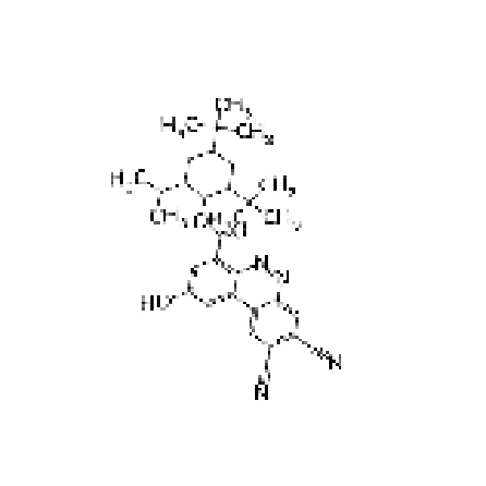 CC(C)C1CC(C(C)(C)C)CC(C(C)(C)C)C1OC(=O)c1cc(O)cc2c1nnc1cc(C#N)c(C#N)cc12